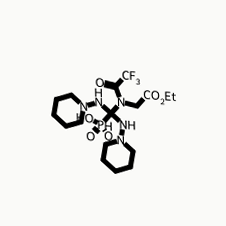 CCOC(=O)CN(C(=O)C(F)(F)F)C(NN1CCCCC1)(NN1CCCCC1)P(=O)(O)O